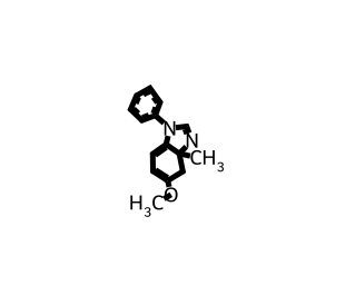 COC1=CC=C2N(c3ccccc3)C=NC2(C)C1